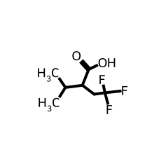 CC(C)C(CC(F)(F)F)C(=O)O